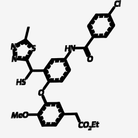 CCOC(=O)Cc1ccc(OC)c(Oc2ccc(NC(=O)c3ccc(Cl)cc3)cc2C(S)c2nnc(C)s2)c1